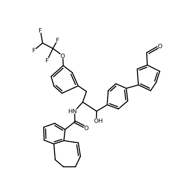 O=Cc1cccc(-c2ccc(C(O)C(Cc3cccc(OC(F)(F)C(F)F)c3)NC(=O)c3cccc4c3C=CCCC4)cc2)c1